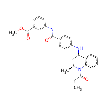 CCC(=O)N1c2ccccc2[C@H](Nc2ccc(C(=O)Nc3cccc(C(=O)OC)c3)cc2)C[C@@H]1C